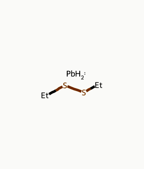 CCSSCC.[PbH2]